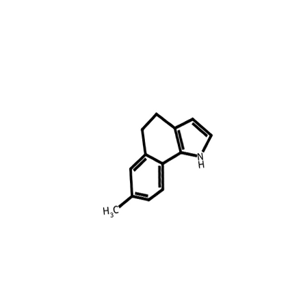 Cc1ccc2c(c1)CCc1cc[nH]c1-2